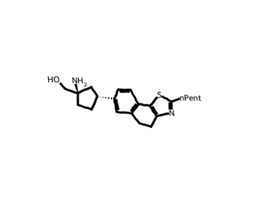 CCCCCc1nc2c(s1)-c1ccc([C@@H]3CC[C@](N)(CO)C3)cc1CC2